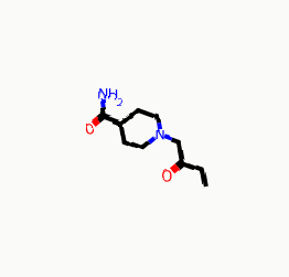 CCC(=O)CN1CCC(C(N)=O)CC1